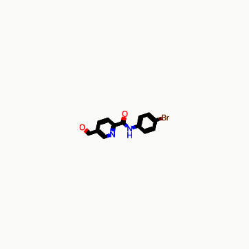 O=Cc1ccc(C(=O)Nc2ccc(Br)cc2)nc1